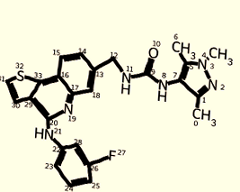 Cc1nn(C)c(C)c1NC(=O)NCc1ccc2c(c1)nc(Nc1cccc(F)c1)c1ccsc12